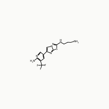 NCCCNc1nn2cc(-c3cnc(N)c(C(F)(F)F)c3)nc2s1